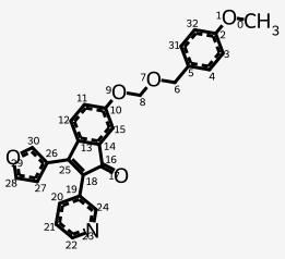 COc1ccc(COCOc2ccc3c(c2)C(=O)C(c2cccnc2)=C3c2ccoc2)cc1